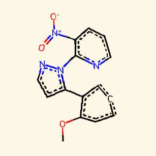 COc1ccccc1-c1ccnn1-c1ncccc1[N+](=O)[O-]